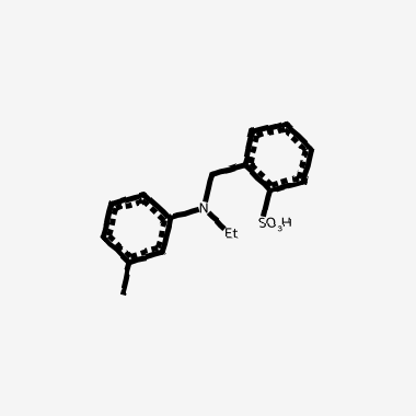 CCN(Cc1ccccc1S(=O)(=O)O)c1cccc(C)c1